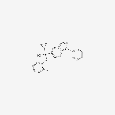 Cc1ccccc1CC(O)(c1ccc2c(cnn2-c2ccccc2)c1)C1CC1